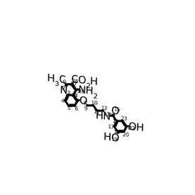 Cc1nc2cccc(OCCCCNC(=O)c3cc(O)cc(O)c3)c2c(N)c1C(=O)O